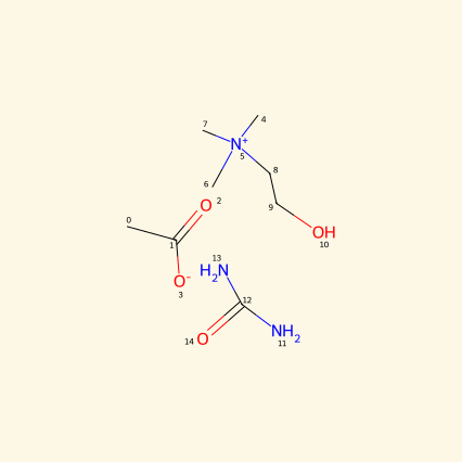 CC(=O)[O-].C[N+](C)(C)CCO.NC(N)=O